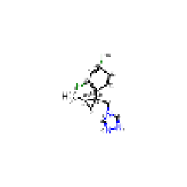 C[C@@H]1C[C@@]1(Cn1cnnc1)c1ccc(F)cc1F